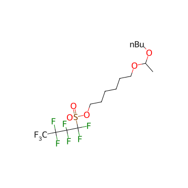 CCCCOC(C)OCCCCCCOS(=O)(=O)C(F)(F)C(F)(F)C(F)(F)C(F)(F)F